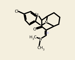 CCC1C(=O)/C(=C\N(C)C)C2CCCC1N2Sc1ccc(Cl)cc1